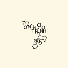 C[C@@H]1CN(C(=O)OC(C)(C)C)CCN1c1nc(-c2cn(S(=O)(=O)c3ccccc3)c3ncccc23)[nH]c(=O)c1Cl